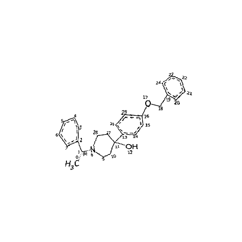 C[C@H](c1ccccc1)N1CCC(O)(c2ccc(OCc3ccccc3)cc2)CC1